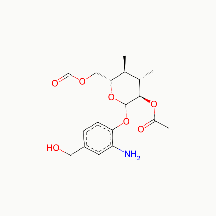 CC(=O)O[C@H]1C(Oc2ccc(CO)cc2N)O[C@H](COC=O)[C@@H](C)[C@@H]1C